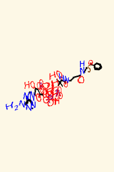 CC(C)(COP(=O)(O)OP(=O)(O)OCC1OC(n2cnc3c(N)ncnc32)C(O)C1OP(=O)(O)O)C(O)C(=O)NCCC(=O)NCCSC(=O)c1ccccc1